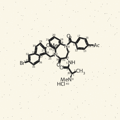 CN[C@H](C)C(=O)N[C@H]1CN(C(=O)c2ccc(C(C)=O)cc2)c2ccccc2N(Cc2c(OC)ccc3cc(Br)ccc23)C1=O.Cl